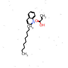 C=CC(=O)O.CCCCCCCCCC.c1ccc2ncccc2c1